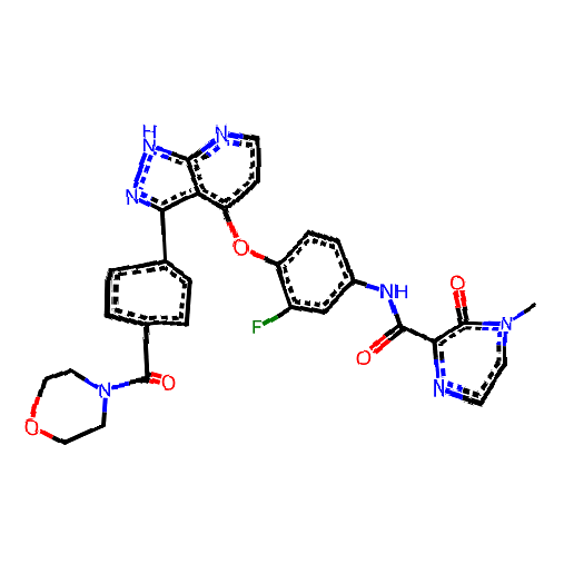 Cn1ccnc(C(=O)Nc2ccc(Oc3ccnc4[nH]nc(-c5ccc(C(=O)N6CCOCC6)cc5)c34)c(F)c2)c1=O